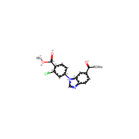 COC(=O)c1ccc2ncn(-c3ccc(C(=O)OC(C)(C)C)c(Cl)c3)c2c1